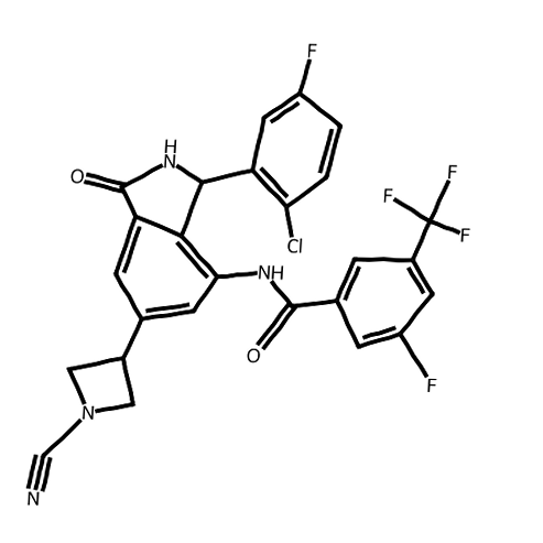 N#CN1CC(c2cc(NC(=O)c3cc(F)cc(C(F)(F)F)c3)c3c(c2)C(=O)NC3c2cc(F)ccc2Cl)C1